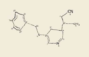 CC(CC#N)C1C=NC=C(SCc2ccccc2)C1